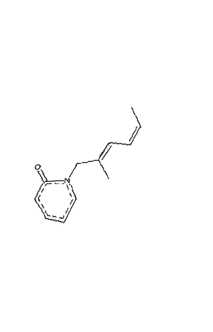 C/C=C\C=C(/C)Cn1ccccc1=O